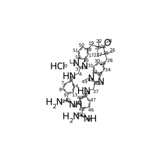 Cl.Cn1c(CNc2ccc(C(=N)N)cc2)nc2cc(CC(C)(C)C(=O)C(C)(C)Cc3ccc4c(c3)nc(CNc3ccc(C(=N)N)cc3)n4C)ccc21